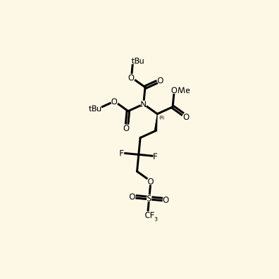 COC(=O)[C@@H](CCC(F)(F)COS(=O)(=O)C(F)(F)F)N(C(=O)OC(C)(C)C)C(=O)OC(C)(C)C